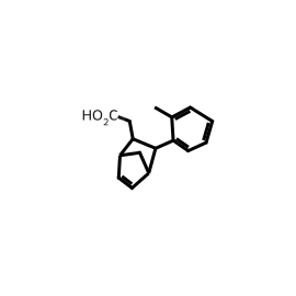 Cc1ccccc1C1C2C=CC(C2)C1CC(=O)O